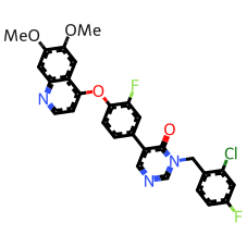 COc1cc2nccc(Oc3ccc(-c4cncn(Cc5ccc(F)cc5Cl)c4=O)cc3F)c2cc1OC